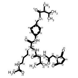 CC(C)C(C)C(=O)OCc1ccc(NC(=O)[C@@H](CCCCNC(N)=O)NC(=O)[C@H](NC(=O)CN2C(=O)C=CC2=O)C(C)C)cc1